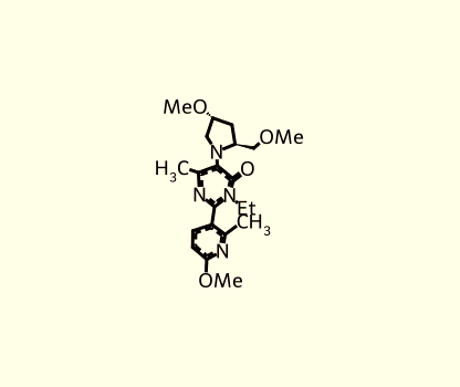 CCn1c(-c2ccc(OC)nc2C)nc(C)c(N2C[C@H](OC)C[C@H]2COC)c1=O